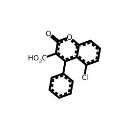 O=C(O)c1c(-c2ccccc2)c2c(Cl)cccc2oc1=O